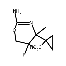 CC1(C2(C(=O)O)CC2)N=C(N)OCC1(F)F